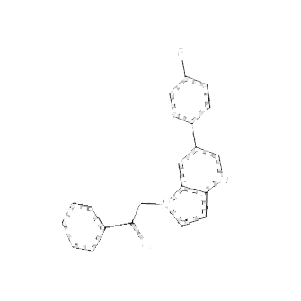 O=C(Cn1ccc2ncc(-c3ccc(F)cc3)cc21)c1ccccc1